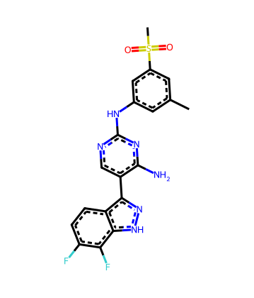 Cc1cc(Nc2ncc(-c3n[nH]c4c(F)c(F)ccc34)c(N)n2)cc(S(C)(=O)=O)c1